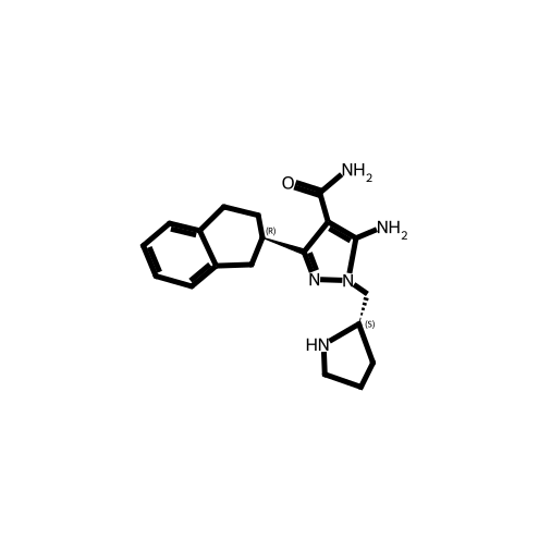 NC(=O)c1c([C@@H]2CCc3ccccc3C2)nn(C[C@@H]2CCCN2)c1N